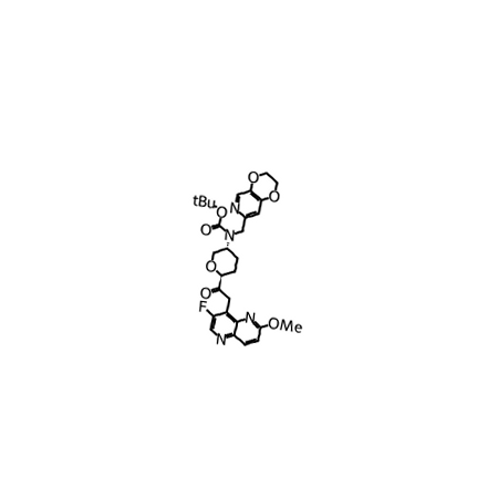 COc1ccc2ncc(F)c(CC(=O)[C@@H]3CC[C@@H](N(Cc4cc5c(cn4)OCCO5)C(=O)OC(C)(C)C)CO3)c2n1